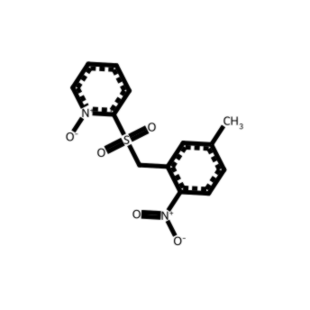 Cc1ccc([N+](=O)[O-])c(CS(=O)(=O)c2cccc[n+]2[O-])c1